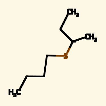 CCCCS[C](C)CC